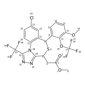 COC(=O)CC1SC(c2cccc(OC)c2OC(F)(F)F)c2cc(Cl)ccc2-n2c1nnc2C(F)(F)F